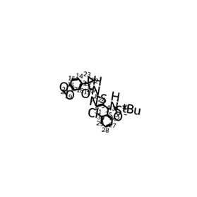 CC(C)(C)[S@@+]([O-])N[C@@H](c1cnc(NC(=O)C2(c3ccc4c(c3)OCO4)CC2)s1)c1ccccc1Cl